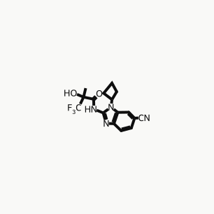 CC(O)(C(=O)Nc1nc2ccc(C#N)cc2n1C1CCC1)C(F)(F)F